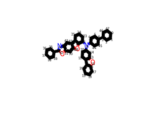 c1ccc(-c2ccc(N(c3ccc4c(c3)oc3ccccc34)c3cccc4c3oc3cc5oc(-c6ccccc6)nc5cc34)cc2)cc1